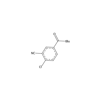 CC(C)(C)C(=O)c1ccc(Cl)c(C#N)c1